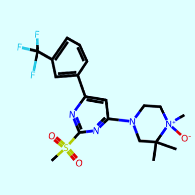 CC1(C)CN(c2cc(-c3cccc(C(F)(F)F)c3)nc(S(C)(=O)=O)n2)CC[N+]1(C)[O-]